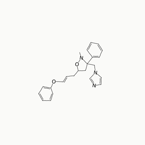 CN1OC(CC=COc2ccccc2)CC1(Cn1ccnc1)c1ccccc1